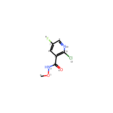 CONC(=O)c1cc(F)cnc1Cl